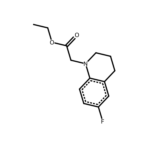 CCOC(=O)CN1CCCc2cc(F)ccc21